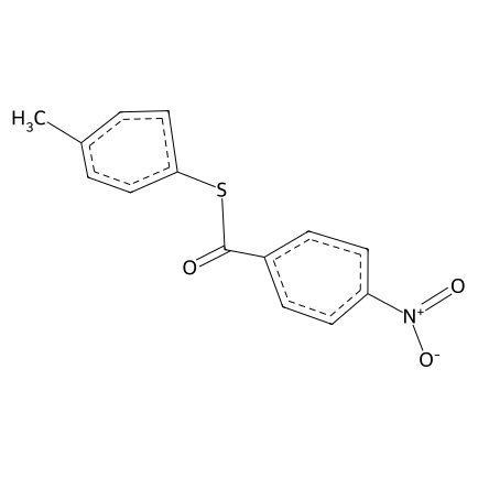 Cc1ccc(SC(=O)c2ccc([N+](=O)[O-])cc2)cc1